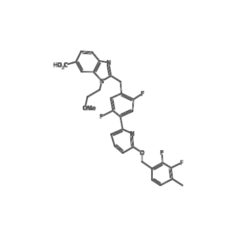 COCCn1c(Cc2cc(F)c(-c3cccc(OCc4ccc(C)c(F)c4F)n3)cc2F)nc2ccc(C(=O)O)cc21